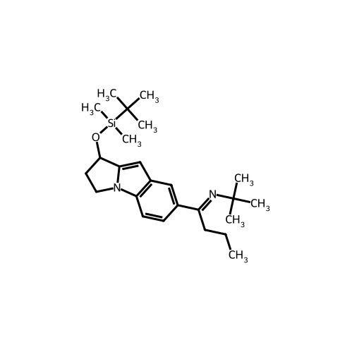 CCCC(=NC(C)(C)C)c1ccc2c(c1)cc1n2CCC1O[Si](C)(C)C(C)(C)C